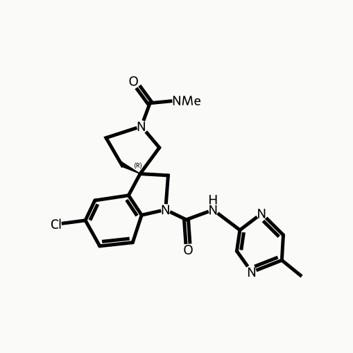 CNC(=O)N1CC[C@@]2(C1)CN(C(=O)Nc1cnc(C)cn1)c1ccc(Cl)cc12